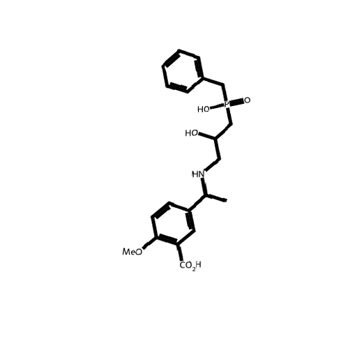 COc1ccc(C(C)NCC(O)CP(=O)(O)Cc2ccccc2)cc1C(=O)O